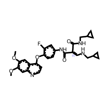 COc1cc2nccc(Oc3ccc(NC(=O)/C(=C/NCC4CC4)C(=O)NCC4CC4)cc3F)c2cc1OC